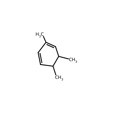 C[C]1C=CC(C)=CC1C